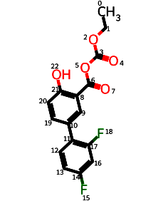 CCOC(=O)OC(=O)c1cc(-c2ccc(F)cc2F)ccc1O